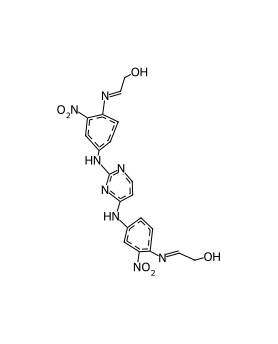 O=[N+]([O-])c1cc(Nc2ccnc(Nc3ccc(N=CCO)c([N+](=O)[O-])c3)n2)ccc1N=CCO